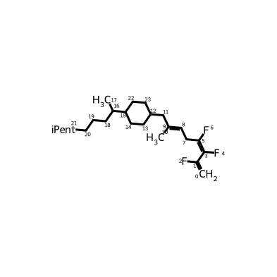 C=C(F)/C(F)=C(/F)C/C=C(\C)CC1CCC(C(C)CCCC(C)CCC)CC1